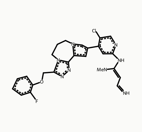 CN/C(=C\C=N)Nc1cc(-c2cc3n(c2)CCCn2c(COc4ccccc4F)nnc2-3)c(Cl)cn1